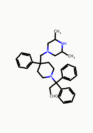 CC1CN(CC2(c3ccccc3)CCN(C(CC=O)(c3ccccc3)c3ccccc3)CC2)CC(C)N1